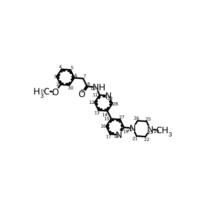 COc1cccc(CC(=O)Nc2ccc(-c3ccnc(N4CCN(C)CC4)c3)cn2)c1